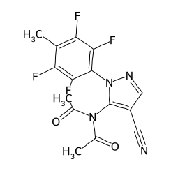 CC(=O)N(C(C)=O)c1c(C#N)cnn1-c1c(F)c(F)c(C)c(F)c1F